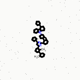 Cc1ccccc1-c1cccc(-c2cc(-c3ccccc3)nc(-c3cccc4c3-c3ccc(-n5c6ccccc6c6c(-c7ccccc7)cccc65)cc3C4)n2)c1C